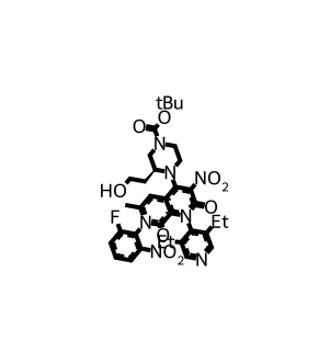 CCc1cncc(CC)c1-n1c(=O)c([N+](=O)[O-])c(N2CCN(C(=O)OC(C)(C)C)C[C@@H]2CCO)c2cc(C)n(-c3c(F)cccc3[N+](=O)[O-])c(=O)c21